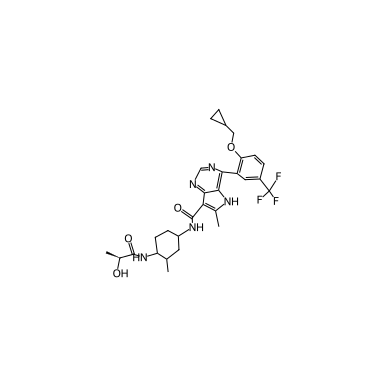 Cc1[nH]c2c(-c3cc(C(F)(F)F)ccc3OCC3CC3)ncnc2c1C(=O)NC1CCC(NC(=O)[C@H](C)O)C(C)C1